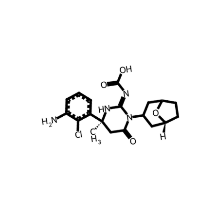 C[C@@]1(c2cccc(N)c2Cl)CC(=O)N(C2CC3CC[C@H](C2)O3)/C(=N/C(=O)O)N1